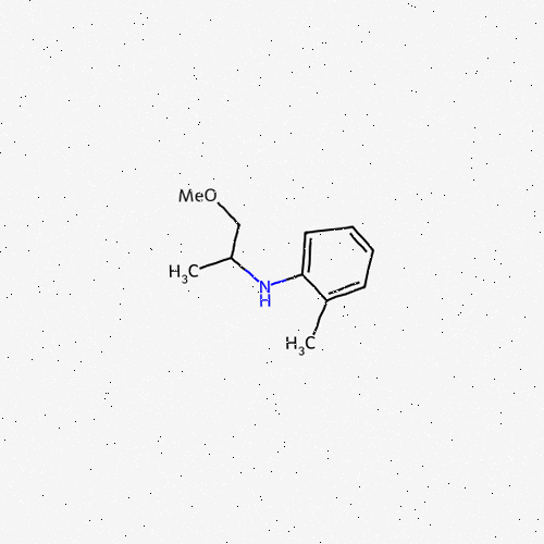 COCC(C)Nc1ccccc1C